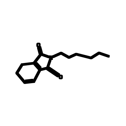 CCCCCCN1C(=O)C2=C(CCC=C2)C1=O